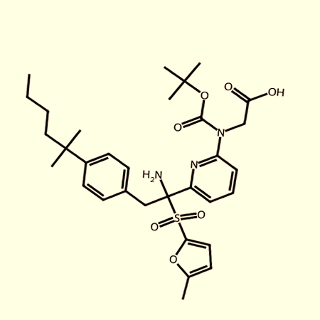 CCCCC(C)(C)c1ccc(CC(N)(c2cccc(N(CC(=O)O)C(=O)OC(C)(C)C)n2)S(=O)(=O)c2ccc(C)o2)cc1